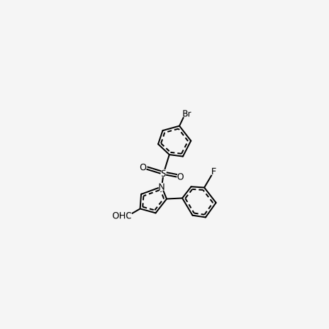 O=Cc1cc(-c2cccc(F)c2)n(S(=O)(=O)c2ccc(Br)cc2)c1